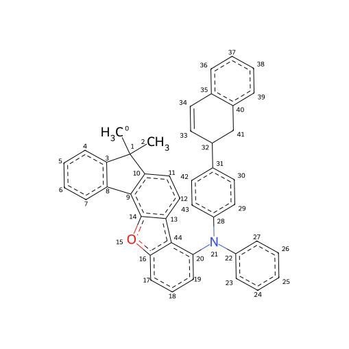 CC1(C)c2ccccc2-c2c1ccc1c2oc2cccc(N(c3ccccc3)c3ccc(C4C=Cc5ccccc5C4)cc3)c21